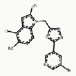 CCCc1cc2c(Cl)c(C#N)ccc2n1Cc1nnc(-c2cncc(Br)c2)o1